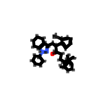 CCc1ccccc1C(Cc1nn(C2CCCCC2)c2c1CCCC2)C(=O)CCC1C2(C)CCC(C2)C1(C)C